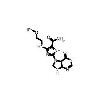 CC(C)OCCNc1nc(N2CNC3N=CNC(=O)C32)[nH]c1C(N)=O